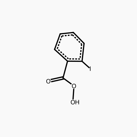 O=C(OO)c1ccccc1I